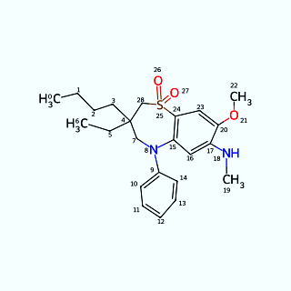 CCCCC1(CC)CN(c2ccccc2)c2cc(NC)c(OC)cc2S(=O)(=O)C1